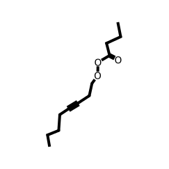 CCCCC#CCCOOC(=O)CCC